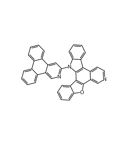 c1ccc2c(c1)oc1c3cnccc3c3c4ccccc4n(-c4cc5c6ccccc6c6ccccc6c5cn4)c3c21